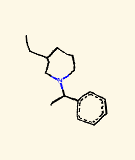 CCC1CCCN(C(C)c2ccccc2)C1